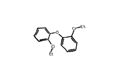 CCOc1ccccc1Oc1ccccc1OCC